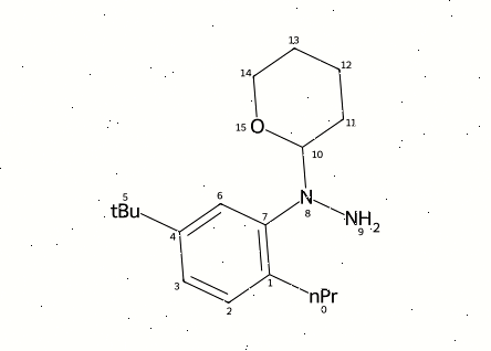 CCCc1ccc(C(C)(C)C)cc1N(N)C1CCCCO1